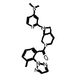 Cc1cccc(C(=O)N2CCC3CN(c4cc(N(C)C)ccn4)C3C2)c1-n1nccn1